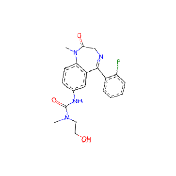 CN(CCO)C(=O)Nc1ccc2c(c1)C(c1ccccc1F)=NCC(=O)N2C